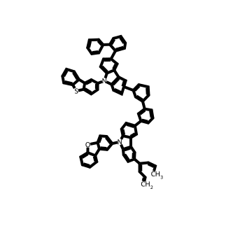 C=C/C=C(\C=C/C)c1ccc2c(c1)c1cc(-c3cccc(-c4cccc(-c5ccc6c(c5)c5cc(-c7ccccc7-c7ccccc7)ccc5n6-c5ccc6sc7ccccc7c6c5)c4)c3)ccc1n2-c1ccc2oc3ccccc3c2c1